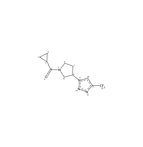 O=C(C1CC1)N1CCC(n2cc(C(F)(F)F)nn2)C1